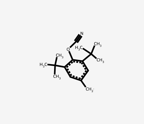 [CH2]c1cc(C(C)(C)C)c(OC#N)c(C(C)(C)C)c1